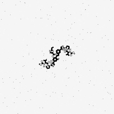 CCc1nnc(C2Oc3cc(-c4cnc([C@@H]5CCCN5C(=O)C(NC(=O)OC)C(C)C)[nH]4)cc(F)c3-c3cc4cc(-c5cnc([C@@H]6CCCN6C(=O)C(NC(=O)OC)C(C)C)[nH]5)ccc4n32)s1